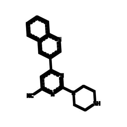 N#Cc1cc(-c2cnc3ccccc3c2)nc(N2CCNCC2)n1